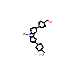 CC(C)n1c2ccc(-c3ccc(CO)cc3)cc2c2cc(-c3ccc(CO)cc3)ccc21